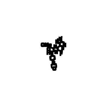 COC(=O)c1nc(-c2cncc3c2ncn3C)c(C(F)F)nc1Nc1ccc(N2CCOCC2)cc1